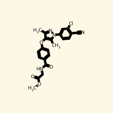 COC(=O)CNC(=O)c1ccc(Oc2c(C)nn(-c3ccc(C#N)c(Cl)c3)c2C)cc1